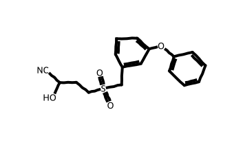 N#CC(O)CCS(=O)(=O)Cc1cccc(Oc2ccccc2)c1